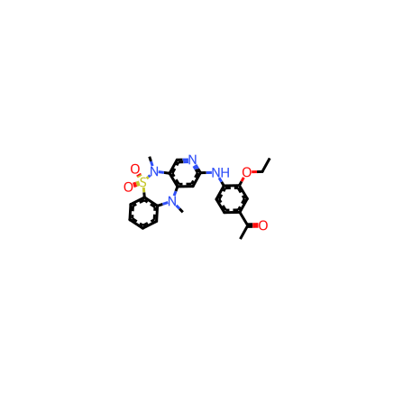 CCOc1cc(C(C)=O)ccc1Nc1cc2c(cn1)N(C)S(=O)(=O)c1ccccc1N2C